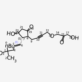 CCCCC(C)(O)C/C=C/[C@H]1C(CC#CCOCC(=O)CO)C(=O)C[C@@H]1O